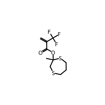 C=C(C(=O)OC1(C)CSCCCS1)C(F)(F)F